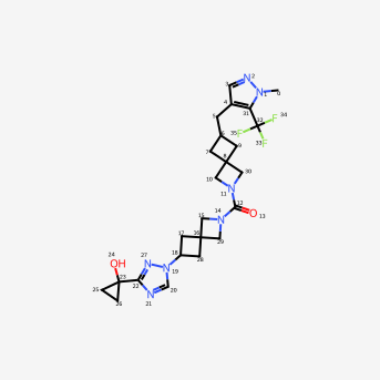 Cn1ncc(CC2CC3(C2)CN(C(=O)N2CC4(CC(n5cnc(C6(O)CC6)n5)C4)C2)C3)c1C(F)(F)F